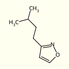 CC(C)CCc1ccon1